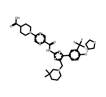 CC1(C)CCCN(Cc2sc(NC(=O)c3cnc(N4CCC(C(=O)O)CC4)cn3)nc2-c2ccc(O[C@@H]3CCOC3)c(C(F)(F)F)c2)C1